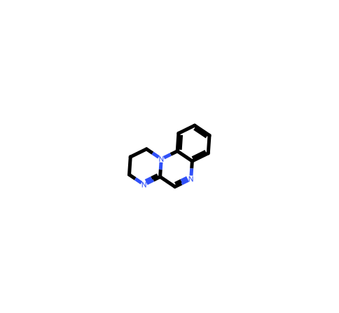 C1=Nc2ccccc2N2CCCN=C12